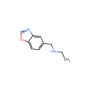 CCNCc1ccc2ocnc2c1